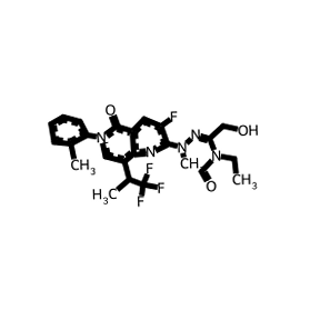 CCN(C=O)/C(CO)=N\N(C)c1nc2c(C(C)C(F)(F)F)cn(-c3ccccc3C)c(=O)c2cc1F